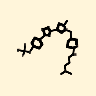 Cc1cc(-c2nc(-c3ccc(OC(F)(F)F)cc3)no2)nn1Cc1ccc(NCCCN(C)C)nc1